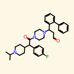 CC(C)N1CCC(C(C(=O)N2CCN(C(CC=O)c3ccccc3-c3ccccc3)CC2)c2ccc(F)cc2)CC1